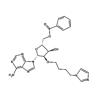 Nc1ncnc2c1ncn2[C@@H]1O[C@H](COC(=O)c2ccccc2)[C@@H](O)[C@H]1OCCCCn1ccnc1